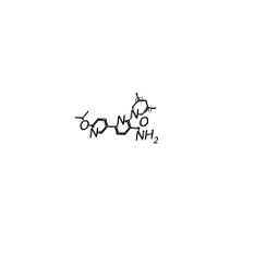 CC(C)Oc1ccc(-c2ccc(C(N)=O)c(N3C[C@H](C)C[C@H](C)C3)n2)cn1